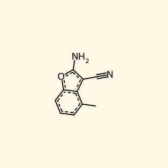 Cc1cccc2oc(N)c(C#N)c12